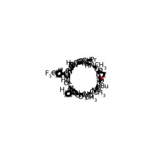 CCC(C)[C@@H]1NC(=O)[C@@H]2CCCCN2C(=O)C[C@@H](C)NC(=O)[C@H](CC(C)C)N(C)C(=O)C(C)(C)NC(=O)[C@H](CC(C)C)N(C)C(=O)[C@H](CCc2ccc(C(F)(F)F)cc2)NC(=O)CN(C)C(=O)[C@H](CC2CCCCC2)N(C)C(=O)CN(C)C(=O)CN(C)C1=O